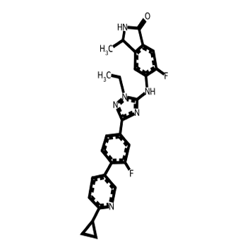 CCn1nc(-c2ccc(-c3ccc(C4CC4)nc3)c(F)c2)nc1Nc1cc2c(cc1F)C(=O)NC2C